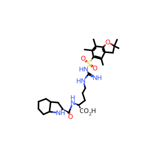 Cc1c(C)c(S(=O)(=O)NC(=N)NCCC[C@H](NC(=O)[C@@H]2CC3CCCCC3N2)C(=O)O)c(C)c2c1OC(C)(C)C2